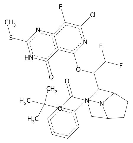 CSc1nc2c(F)c(Cl)nc(OC(C(F)F)C3C4CCC(CN3C(=O)OC(C)(C)C)N4Cc3ccccc3)c2c(=O)[nH]1